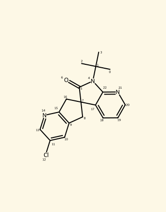 CC(C)(C)N1C(=O)C2(Cc3cc(Cl)cnc3C2)c2cccnc21